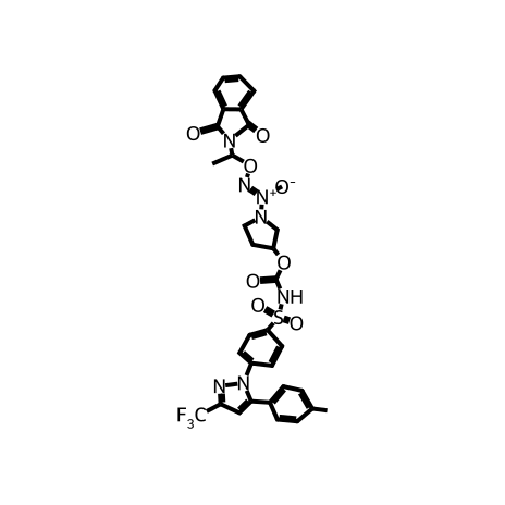 Cc1ccc(-c2cc(C(F)(F)F)nn2-c2ccc(S(=O)(=O)NC(=O)OC3CCN([N+]([O-])=NOC(C)N4C(=O)c5ccccc5C4=O)C3)cc2)cc1